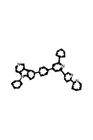 c1ccc(-c2cc(-c3ccc(-c4ccc5c(c4)c4cnccc4n5-c4ccccc4)cc3)cc(-c3ccc(-c4ccccn4)nc3)n2)cc1